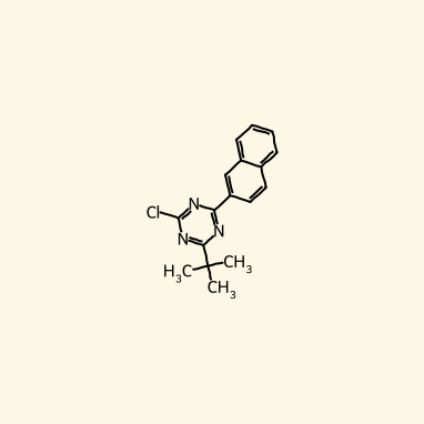 CC(C)(C)c1nc(Cl)nc(-c2ccc3ccccc3c2)n1